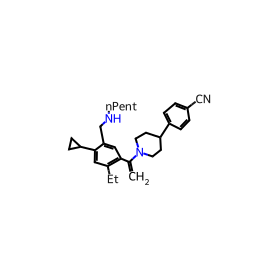 C=C(c1cc(CNCCCCC)c(C2CC2)cc1CC)N1CCC(c2ccc(C#N)cc2)CC1